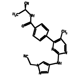 Cc1cnc(Nc2cnn(CC#N)c2)nc1-c1ccc(C(=O)N[C@@H](C)C#N)cc1